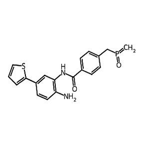 C=P(=O)Cc1ccc(C(=O)Nc2cc(-c3cccs3)ccc2N)cc1